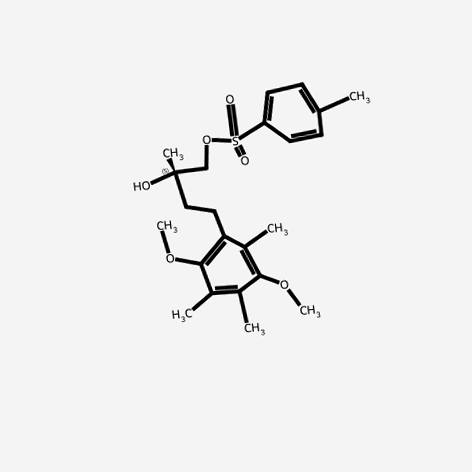 COc1c(C)c(C)c(OC)c(CC[C@](C)(O)COS(=O)(=O)c2ccc(C)cc2)c1C